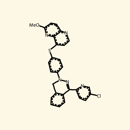 COc1ccc2nccc(Sc3ccc(N4Cc5ccccc5C(c5ccc(Cl)cn5)=N4)cc3)c2n1